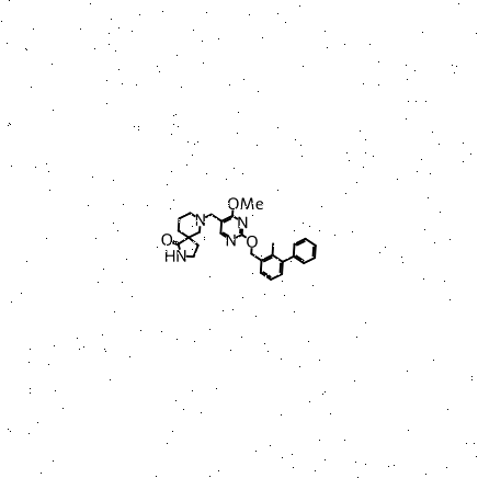 COc1nc(OCc2cccc(-c3ccccc3)c2C)ncc1CN1CCCC2(CCNC2=O)C1